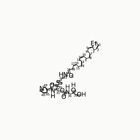 CC/C=C\C/C=C\C/C=C\C/C=C\C/C=C\C/C=C\CCC(=O)NCCSSC(C)(C)[C@@H](COC(=O)NC[C@@H](O)CO)NC(=O)c1cccnc1